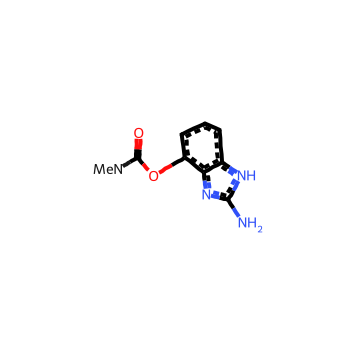 CNC(=O)Oc1cccc2[nH]c(N)nc12